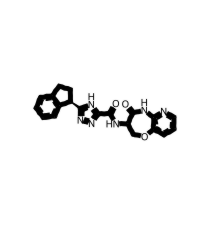 O=C(NC1COc2cccnc2NC1=O)c1nnc([C@@H]2CCc3ccccc32)[nH]1